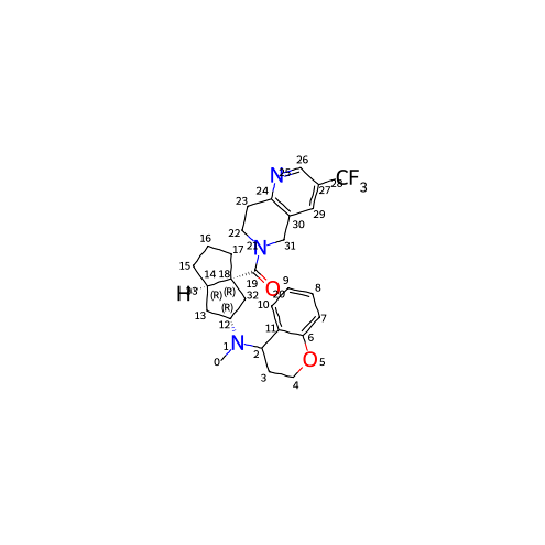 CN(C1CCOc2ccccc21)[C@@H]1C[C@H]2CCC[C@@]2(C(=O)N2CCc3ncc(C(F)(F)F)cc3C2)C1